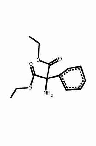 CCOC(=O)C(N)(C(=O)OCC)c1ccccc1